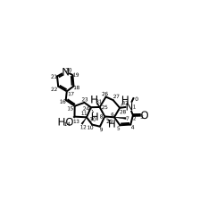 CN1C(=O)C=C[C@]2(C)[C@H]3CC[C@]4(C)[C@@H](O)C(=Cc5ccncc5)C[C@H]4[C@@H]3CC[C@@H]12